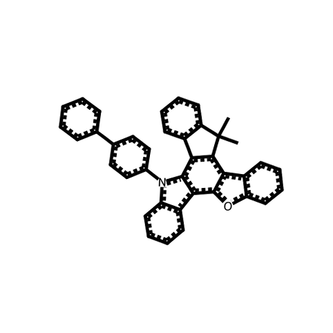 CC1(C)c2ccccc2-c2c1c1c3ccccc3oc1c1c3ccccc3n(-c3ccc(-c4ccccc4)cc3)c21